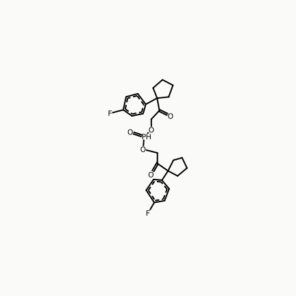 O=C(CO[PH](=O)OCC(=O)C1(c2ccc(F)cc2)CCCC1)C1(c2ccc(F)cc2)CCCC1